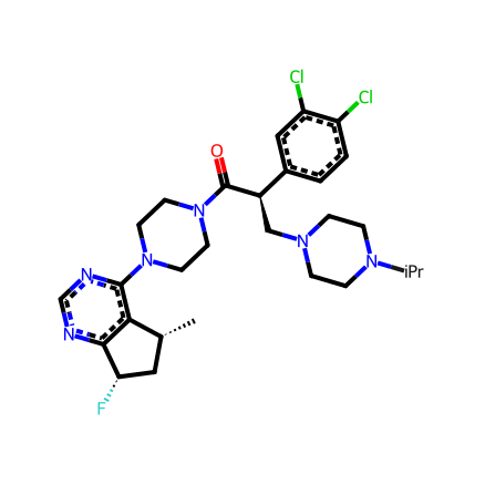 CC(C)N1CCN(C[C@@H](C(=O)N2CCN(c3ncnc4c3[C@H](C)C[C@@H]4F)CC2)c2ccc(Cl)c(Cl)c2)CC1